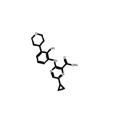 CCCc1c(Nc2ncc(C3CC3)nc2C(=O)OC)cccc1C1CCOCC1